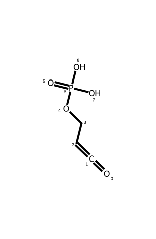 O=C=CCOP(=O)(O)O